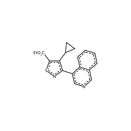 CCOC(=O)c1snc(-c2cncc3ccccc23)c1C1CC1